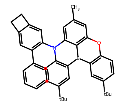 Cc1cc2c3c(c1)N(c1cc4c(cc1-c1ccccc1)CC4)c1ccc(C(C)(C)C)cc1B3c1cc(C(C)(C)C)ccc1O2